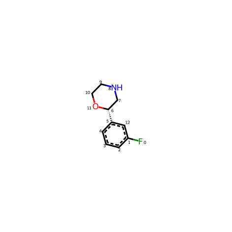 Fc1cccc([C@H]2CNCCO2)c1